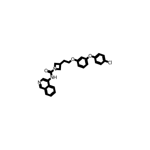 O=C(Nc1cncc2ccccc12)N1CC(CCOc2cccc(Oc3ccc(Cl)cc3)c2)C1